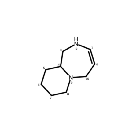 C1=CNCC2CCCCN2C1